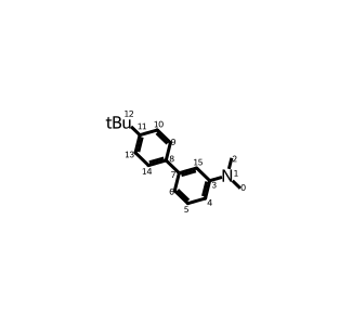 CN(C)c1cccc(-c2ccc(C(C)(C)C)cc2)c1